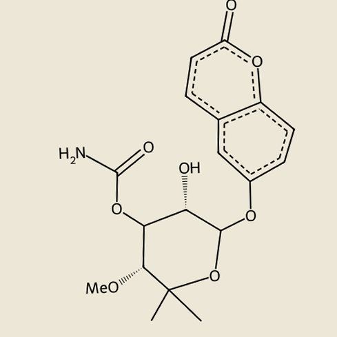 CO[C@@H]1C(OC(N)=O)[C@H](O)C(Oc2ccc3oc(=O)ccc3c2)OC1(C)C